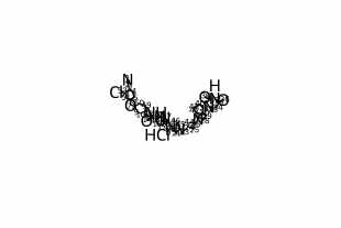 Cl.N#Cc1ccc(OC2CCC(NC(=O)c3ccc(N4CCN(CC5CC(n6ccc7c(N8CCC(=O)NC8=O)cccc76)C5)CC4)nn3)CC2)cc1Cl